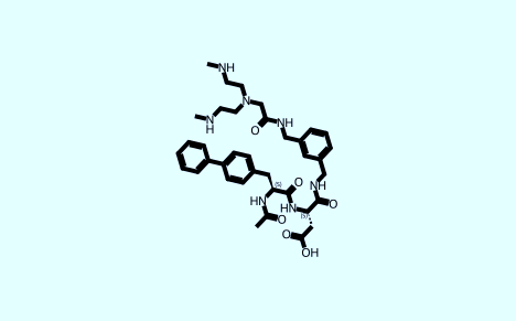 CNCCN(CCNC)CC(=O)NCc1cccc(CNC(=O)[C@H](CC(=O)O)NC(=O)[C@H](Cc2ccc(-c3ccccc3)cc2)NC(C)=O)c1